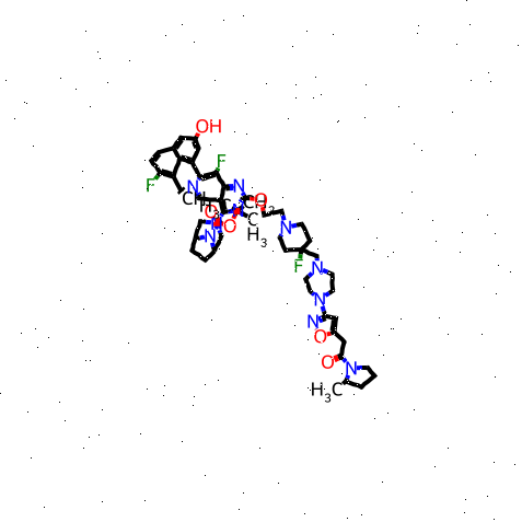 C#Cc1c(F)ccc2cc(O)cc(-c3ncc4c(N5CC6CCC(C5)N6C(=O)OC(C)(C)C)nc(OCCN5CCC(F)(CN6CCN(c7cc(CC(=O)N8CCCC8C)on7)CC6)CC5)nc4c3F)c12